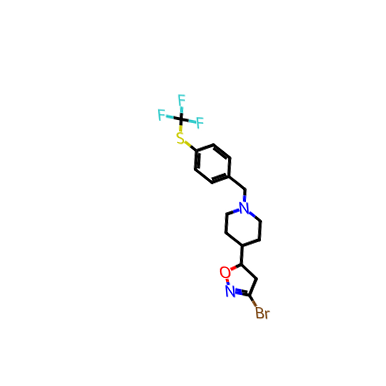 FC(F)(F)Sc1ccc(CN2CCC(C3CC(Br)=NO3)CC2)cc1